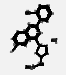 Cl.O=C(O)NC1CCN(c2nc(-c3ccccc3O)nc3ccc(F)cc23)C1